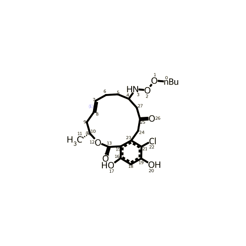 CCCCOONC1CC/C=C/C[C@@H](C)OC(=O)c2c(O)cc(O)c(Cl)c2CC(=O)C1